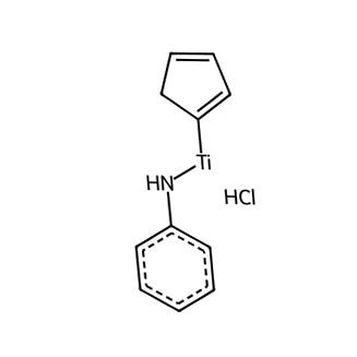 C1=CC[C]([Ti][NH]c2ccccc2)=C1.Cl